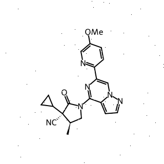 COc1ccc(-c2cn3nccc3c(N3C[C@@H](C)[C@@](C#N)(C4CC4)C3=O)n2)nc1